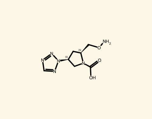 NOC[C@@H]1C[C@H](n2ncnn2)CN1C(=O)O